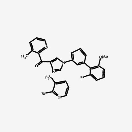 COc1cccc(F)c1-c1cccc(-n2cnc(C(=O)c3ncccc3C)c2)c1.Cc1cccnc1Br